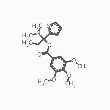 CCC(OC(=O)c1cc(OC)c(OC)c(OC)c1)(c1cccs1)N(C)C